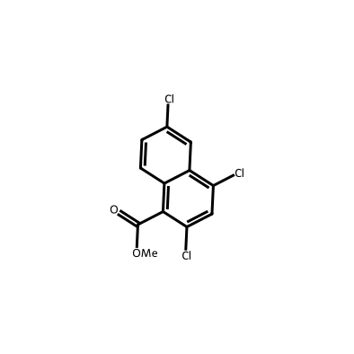 COC(=O)c1c(Cl)cc(Cl)c2cc(Cl)ccc12